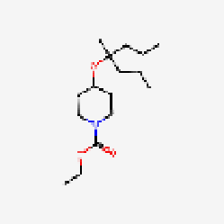 CCCC(C)(CCC)OC1CCN(C(=O)OCC)CC1